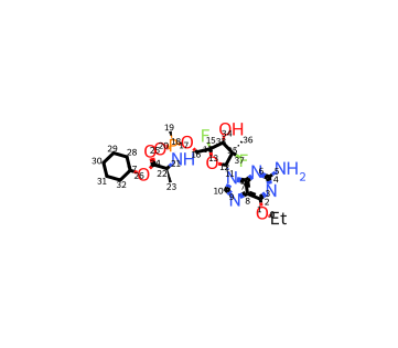 CCOc1nc(N)nc2c1ncn2[C@@H]1O[C@](F)(CO[P@@](C)(=O)N[C@@H](C)C(=O)OC2CCCCC2)[C@@H](O)[C@@]1(C)F